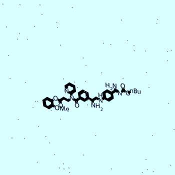 CCCCOC(=O)/N=C(\N)c1ccc(NCC(N)c2cccc(C(=O)N(CCC(=O)Oc3ccccc3OC)c3ccccn3)c2)cc1